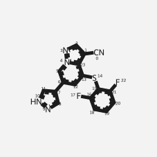 N#Cc1cnn2cc(-c3cn[nH]c3)cc(Sc3c(F)cccc3F)c12